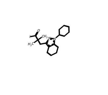 CC(C)(Cc1nn(C2CCCCC2)c2c1CCCC2)C(=O)I